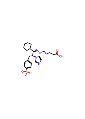 CS(=O)(=O)c1ccc(CC(/C(=N\OCCCCC(=O)O)C2CCCCC2)n2ccnc2)cc1